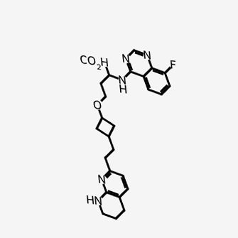 O=C(O)C(CCOC1CC(CCc2ccc3c(n2)NCCC3)C1)Nc1ncnc2c(F)cccc12